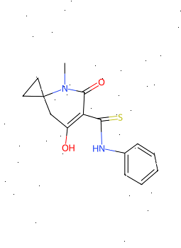 CN1C(=O)C(C(=S)Nc2ccccc2)=C(O)CC12CC2